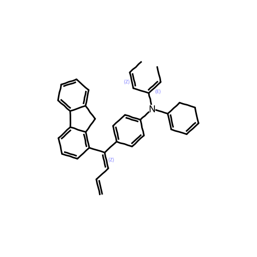 C=C/C=C(/c1ccc(N(C2=CC=CCC2)C(/C=C\C)=C/C)cc1)c1cccc2c1Cc1ccccc1-2